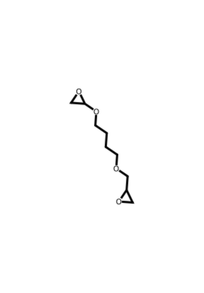 C(CCOC1CO1)COCC1CO1